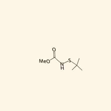 COC(=O)NSC(C)(C)C